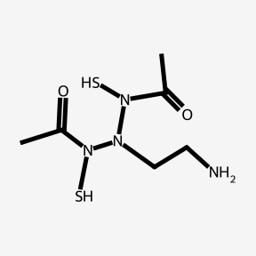 CC(=O)N(S)N(CCN)N(S)C(C)=O